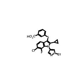 CCn1cc(-n2c(C3CC3)c(Sc3cccc(C(=O)O)c3)c3ccc(Cl)c(F)c32)cn1